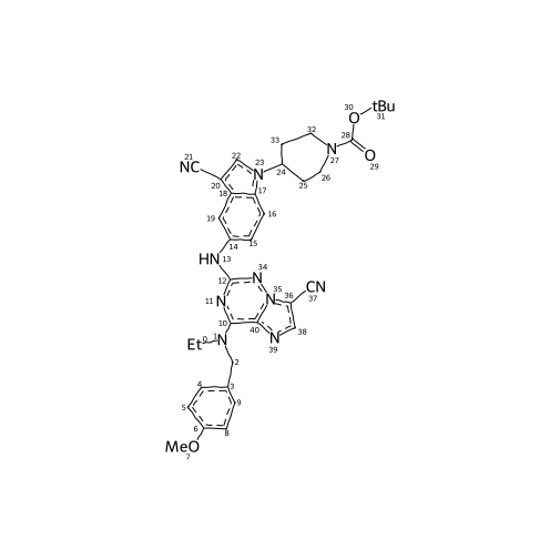 CCN(Cc1ccc(OC)cc1)c1nc(Nc2ccc3c(c2)c(C#N)cn3C2CCN(C(=O)OC(C)(C)C)CC2)nn2c(C#N)cnc12